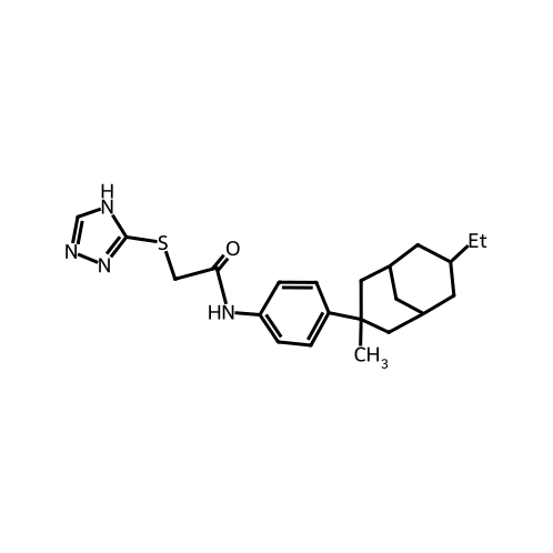 CCC1CC2CC(C1)CC(C)(c1ccc(NC(=O)CSc3nnc[nH]3)cc1)C2